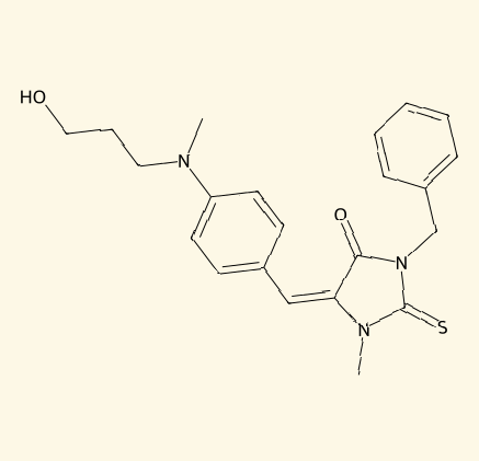 CN1C(=S)N(Cc2ccccc2)C(=O)/C1=C\c1ccc(N(C)CCCO)cc1